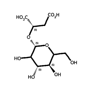 O=C(O)C[C@H](O[C@@H]1OC(CO)[C@@H](O)[C@H](O)C1O)C(=O)O